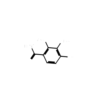 CCCCCCCCCCc1c(C=O)ccc(C(N)=O)c1CCCCCCCCCC